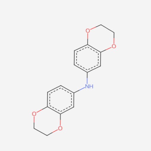 c1cc2c(cc1Nc1ccc3c(c1)OCCO3)OCCO2